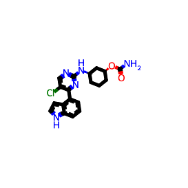 NC(=O)O[C@H]1CCC[C@@H](Nc2ncc(Cl)c(-c3cccc4[nH]ccc34)n2)C1